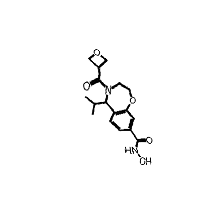 CC(C)C1c2ccc(C(=O)NO)cc2OCCN1C(=O)C1COC1